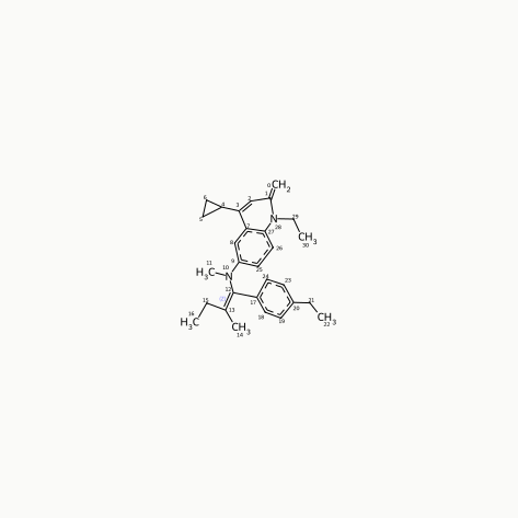 C=C1C=C(C2CC2)c2cc(N(C)/C(=C(/C)CC)c3ccc(CC)cc3)ccc2N1CC